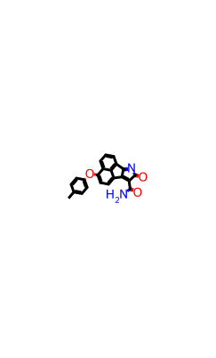 Cc1ccc(Oc2ccc3c4c(cccc24)C2=NC(=O)C(C(N)=O)=C23)cc1